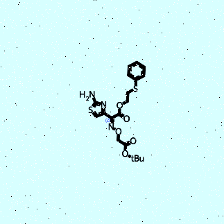 CC(C)(C)OC(=O)CO/N=C(\C(=O)OCCSc1ccccc1)c1csc(N)n1